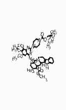 COC(=O)[C@@H]1[C@H]2C[C@H]3c4[nH]c5ccccc5c4CCN3C[C@@H]2CC[C@@H]1O.COc1cc2c(N)nc(N3CCN(C(=O)OCC(C)(C)O)CC3)nc2c(OC)c1OC